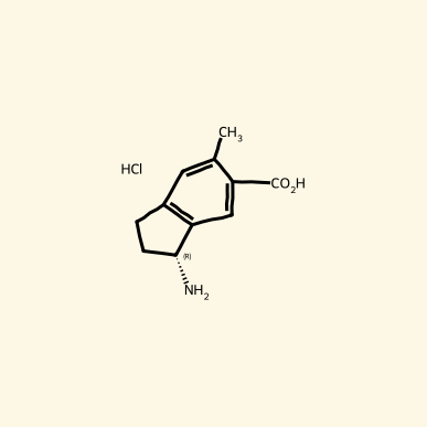 Cc1cc2c(cc1C(=O)O)[C@H](N)CC2.Cl